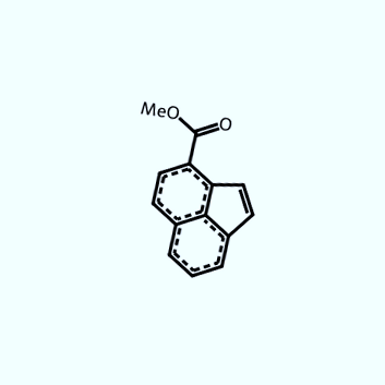 COC(=O)c1ccc2cccc3c2c1C=C3